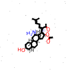 CC(=O)O[C@H]1C[C@@]2(C)[C@H](/C1=C(\CCC=C(C)C)C(C)=O)[C@H](N)C[C@H]1[C@@]3(C)CC[C@@H](O)[C@@H](C)[C@@H]3CC[C@@]12C